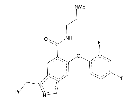 CNCCNC(=O)c1cc2c(cnn2CC(C)C)cc1Oc1ccc(F)cc1F